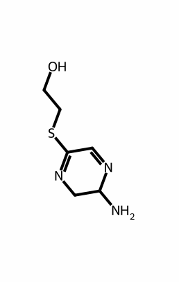 NC1CN=C(SCCO)C=N1